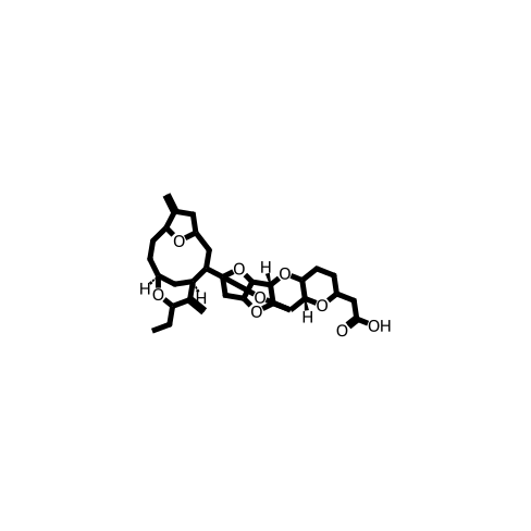 C=C1CC2CC(C34CC5OC6C(O3)[C@H]3OC(CC(=O)O)CCC3O[C@H]6C5O4)[C@@H]3C[C@H](CCC1O2)OC(CC)C3=C